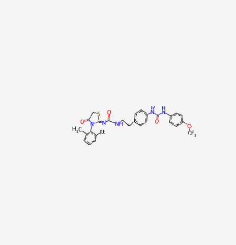 CCc1cccc(C)c1N1C(=O)CSC1=NC(=O)NCCc1ccc(NC(=O)Nc2ccc(OC(F)(F)F)cc2)cc1